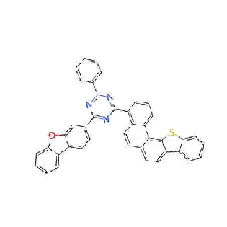 c1ccc(-c2nc(-c3ccc4c(c3)oc3ccccc34)nc(-c3cccc4c3ccc3ccc5c6ccccc6sc5c34)n2)cc1